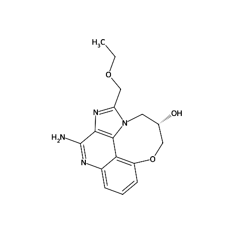 CCOCc1nc2c(N)nc3cccc4c3c2n1C[C@H](O)CO4